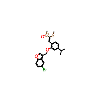 CS/C(=C\c1ccc(C(C)C)cc1OCc1coc2ccc(Br)cc12)[S+](C)[O-]